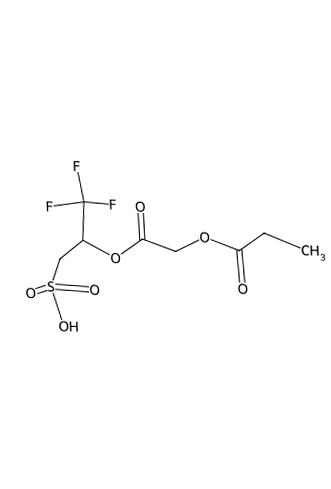 CCC(=O)OCC(=O)OC(CS(=O)(=O)O)C(F)(F)F